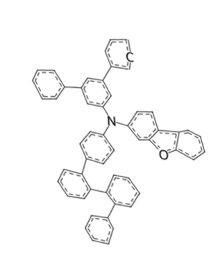 c1ccc(-c2cc(-c3ccccc3)cc(N(c3ccc(-c4ccccc4-c4ccccc4-c4ccccc4)cc3)c3ccc4c(c3)oc3ccccc34)c2)cc1